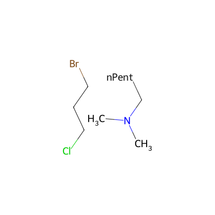 CCCCCCN(C)C.ClCCCBr